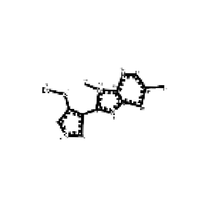 CCSc1cscc1-c1nc2cc(C)cnc2n1C